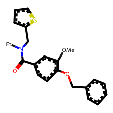 [CH2]CN(Cc1cccs1)C(=O)c1ccc(OCc2ccccc2)c(OC)c1